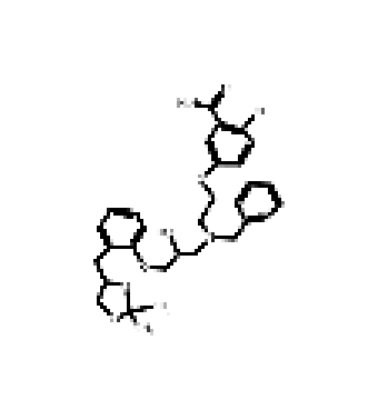 CC1(C)OCC(Cc2ccccc2OCC(O)CN(CCOc2ccc(O)c(C(N)=O)c2)Cc2ccccc2)O1